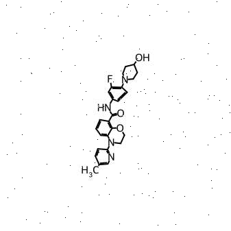 Cc1ccc(N2CCOc3c(C(=O)Nc4ccc(N5CCC(O)CC5)c(F)c4)cccc32)nc1